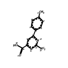 Cc1ccc(-c2cc(C(=O)O)nc(N)n2)cc1